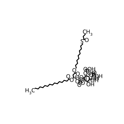 CCCCCCCCCCCCCCCC(=O)O[C@@H](COP(=O)(O)OC1C(O)[C@H](OP(=O)(O)O)C(OP(=O)(O)O)[C@H](O)[C@@H]1O)CC(=O)OCCCCCCCCCCCSC(=O)CCC